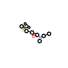 c1ccc(-c2ccc(N(c3ccccc3)c3ccc4c(c3)oc3cc(-c5ccc6c(c5)[Si]5(c7ccccc7S6)c6ccccc6-c6ccccc65)ccc34)cc2)cc1